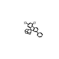 Clc1cc(Cl)c2c(c1)C1(c3cc(-c4ccccc4)ccc3-2)C2CC3CC(C2)CC1C3